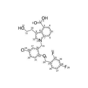 O=C(O)c1cccc2c1c(CCO)cn2Cc1cc(Cl)ccc1OCc1ccc(F)cc1F